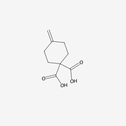 C=C1CCC(C(=O)O)(C(=O)O)CC1